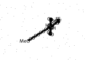 COCCOCCOCCOCCOCCOCCOCCOCCNC(=O)[C@@H](NC(=O)CCCN1C(=O)C=CC1=O)[C@H](NC(=O)CCCN1C(=O)C=CC1=O)C(=O)NCCCC(=O)Oc1c(F)c(F)c(F)c(F)c1F